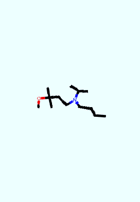 CCCCN(CCC(C)(C)OC)C(C)C